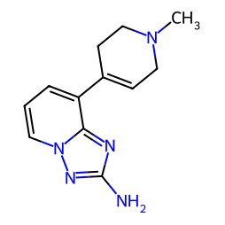 CN1CC=C(c2cccn3nc(N)nc23)CC1